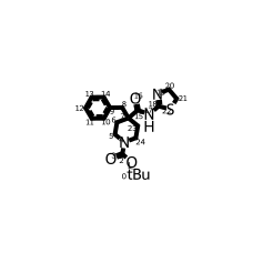 CC(C)(C)OC(=O)N1CCC(Cc2ccccc2)(C(=O)NC2=NCCS2)CC1